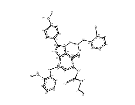 CCOC(=O)Oc1cn(Cc2ccccc2OC)c2sc(-c3ccc(OC)cc3)c(CN(C)Cc3ccccc3F)c2c1=O